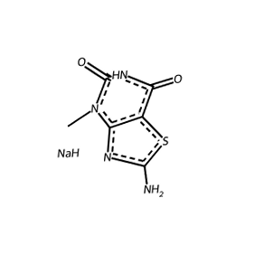 Cn1c(=O)[nH]c(=O)c2sc(N)nc21.[NaH]